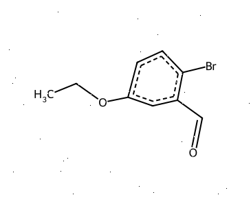 CCOc1ccc(Br)c(C=O)c1